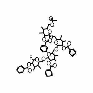 CC(=O)OCC1OC(OCC2OC(OCC3OC(OCC4OC(F)C(OC(=O)c5ccccc5)C(C)C4C)C(OC(=O)c4ccccc4)C(C)C3C)C(OC(=O)c3ccccc3)C(C)C2C)C(OC(=O)c2ccccc2)C(C)C1C